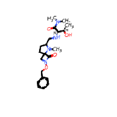 C[C@@H](O)[C@H](NCC1CCC2(CN(OCc3ccccc3)C2=O)N1C)C(=O)N(C)C